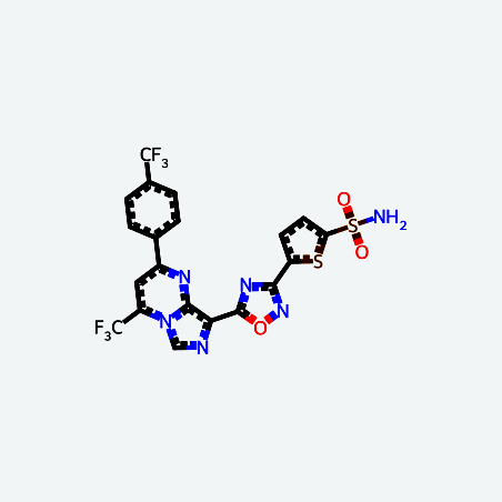 NS(=O)(=O)c1ccc(-c2noc(-c3ncn4c(C(F)(F)F)cc(-c5ccc(C(F)(F)F)cc5)nc34)n2)s1